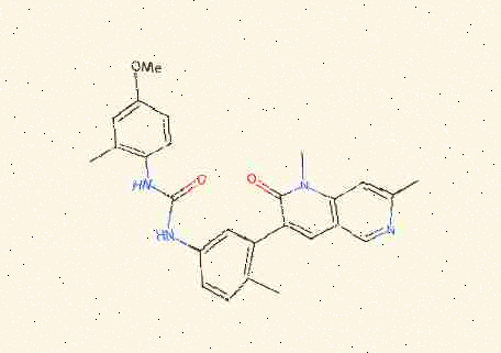 COc1ccc(NC(=O)Nc2ccc(C)c(-c3cc4cnc(C)cc4n(C)c3=O)c2)c(C)c1